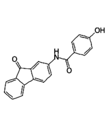 O=C(Nc1ccc2c(c1)C(=O)c1ccccc1-2)c1ccc(O)cc1